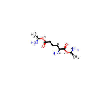 CC(N)OC(=O)CCCC(N)C(=O)OC(C)N